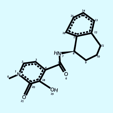 Cn1ccc(C(=O)N[C@@H]2CCCc3ccccc32)c(O)c1=O